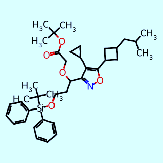 CC(C)CC1CC(c2onc(C(CCO[Si](c3ccccc3)(c3ccccc3)C(C)(C)C)OCC(=O)OC(C)(C)C)c2C2CC2)C1